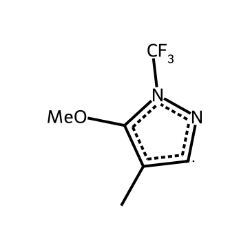 COc1c(C)[c]nn1C(F)(F)F